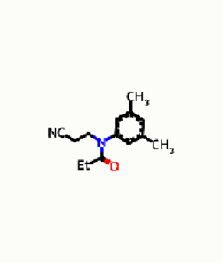 CCC(=O)N(CCC#N)c1cc(C)cc(C)c1